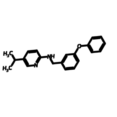 CC(C)c1ccc(NCc2cccc(Oc3ccccc3)c2)nc1